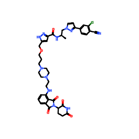 C[C@H](Cn1ccc(-c2ccc(C#N)c(Cl)c2)n1)NC(=O)c1cc(COCCCN2CCN(CCNc3cccc4c3C(=O)N(C3CCC(=O)NC3=O)C4=O)CC2)[nH]n1